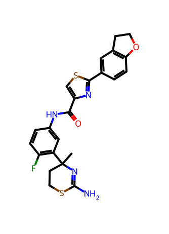 CC1(c2cc(NC(=O)c3csc(-c4ccc5c(c4)CCO5)n3)ccc2F)CCSC(N)=N1